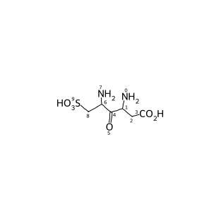 NC(CC(=O)O)C(=O)C(N)CS(=O)(=O)O